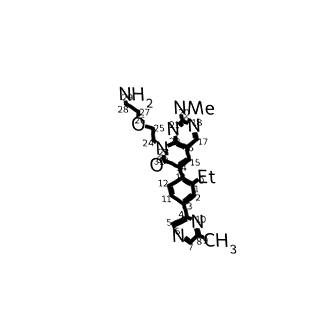 CCc1cc(-c2cncc(C)n2)ccc1-c1cc2cnc(NC)nc2n(CCOCCN)c1=O